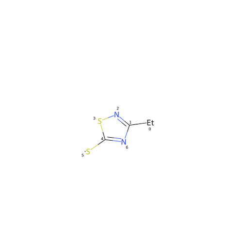 CCc1nsc([S])n1